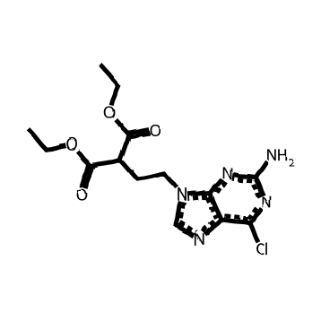 CCOC(=O)C(CCn1cnc2c(Cl)nc(N)nc21)C(=O)OCC